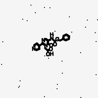 O=C(O)Cn1c(-c2ccncc2)ncc(NC(=O)OCc2ccccc2)c1=O